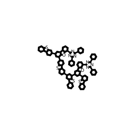 c1ccc(-c2nc(-c3ccccc3)nc(-c3cccc4c3oc3c(-c5ccc6c(c5)sc5ccc(-c7cc(-c8cc(-c9cccc%10c9sc9ccccc9%10)c9oc%10c(-c%11nc(-c%12ccccc%12)nc(-c%12ccccc%12)n%11)cccc%10c9c8)c8sc9ccccc9c8c7)cc56)cc(-c5ccc6c(c5)sc5ccccc56)cc34)n2)cc1